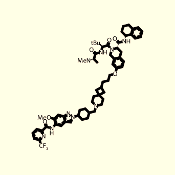 CN[C@@H](C)C(=O)N[C@H](C(=O)N1Cc2cc(OCCCC3CC4(CCN(CC5CCC(n6cc7cc(NC(=O)c8cccc(C(F)(F)F)n8)c(OC)cc7n6)CC5)CC4)C3)ccc2C[C@H]1C(=O)N[C@@H]1CCCc2ccccc21)C(C)(C)C